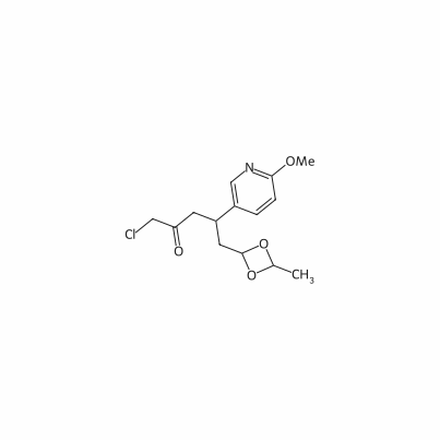 COc1ccc(C(CC(=O)CCl)CC2OC(C)O2)cn1